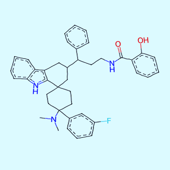 CN(C)C1(c2cccc(F)c2)CCC2(CC1)CC(C(CCNC(=O)c1ccccc1O)c1ccccc1)Cc1c2[nH]c2ccccc12